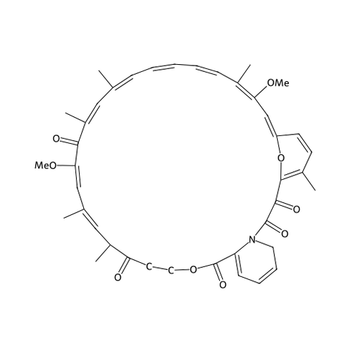 COC1=CC(C)=CC(C)C(=O)CCOC(=O)C2=CC=CCN2C(=O)C(=O)C2=C(C)C=CC(=CC(OC)=C(C)C=CC=CC=C(C)C=C(C)C1=O)O2